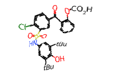 CC(C)(C)c1cc(NS(=O)(=O)c2cc(C(=O)c3ccccc3OC(=O)O)ccc2Cl)cc(C(C)(C)C)c1O